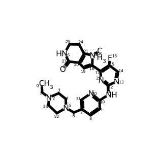 CCN1CCN(Cc2ccc(Nc3ncc(F)c(-c4cc5c(n4C)CCNC5=O)n3)nc2)CC1